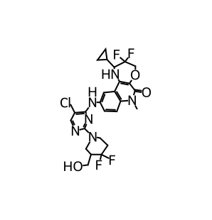 Cn1c(=O)c2c(c3cc(Nc4nc(N5CCC(F)(F)C(CO)C5)ncc4Cl)ccc31)NC(C1CC1)C(F)(F)CO2